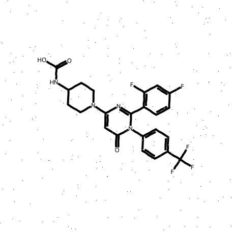 O=C(O)NC1CCN(c2cc(=O)n(-c3ccc(C(F)(F)F)cc3)c(-c3ccc(F)cc3F)n2)CC1